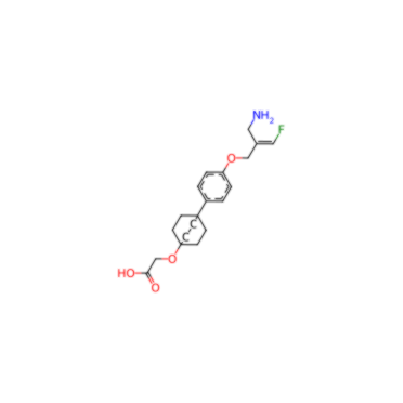 NC/C(=C\F)COc1ccc(C23CCC(OCC(=O)O)(CC2)CC3)cc1